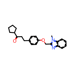 Cn1c(COc2ccc(CCC(=O)C3CCCC3)cc2)nc2ccccc21